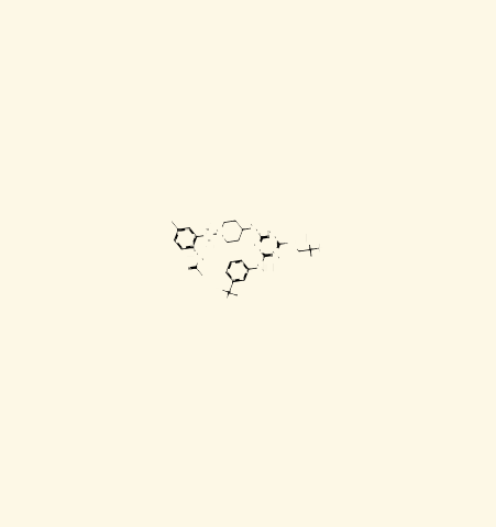 CC(=O)Nc1ccc(C)cc1S(=O)(=O)N1CCC(Nc2nc(Nc3cccc(C(F)(F)F)c3)nc(OCC(F)(F)F)n2)CC1